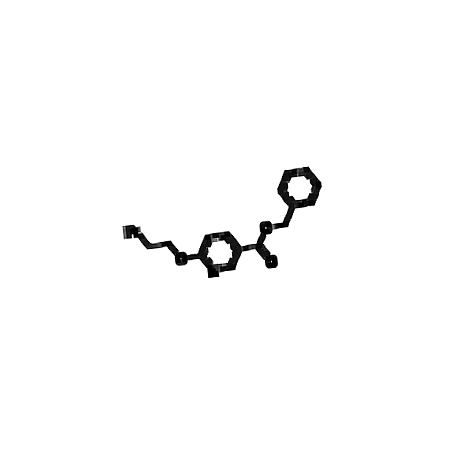 CC(C)CCOc1ccc(C(=O)OCc2ccccc2)cn1